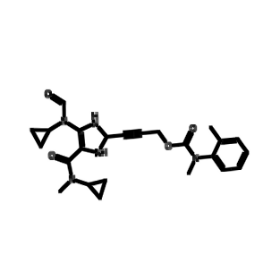 Cc1ccccc1N(C)C(=O)OCC#CC1NC(C(=O)N(C)C2CC2)=C(N(C=O)C2CC2)N1